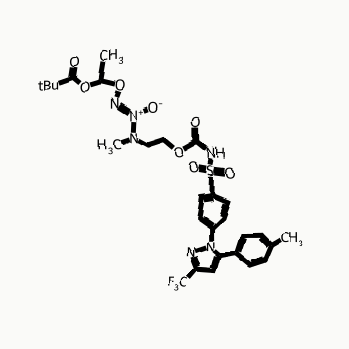 Cc1ccc(-c2cc(C(F)(F)F)nn2-c2ccc(S(=O)(=O)NC(=O)OCCN(C)[N+]([O-])=NOC(C)OC(=O)C(C)(C)C)cc2)cc1